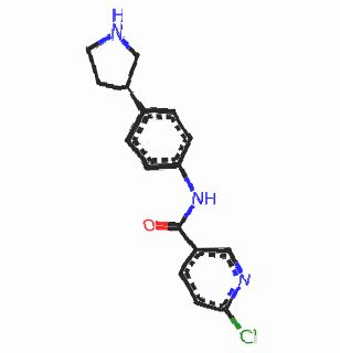 O=C(Nc1ccc([C@H]2CCNC2)cc1)c1ccc(Cl)nc1